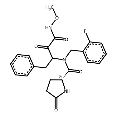 CONC(=O)C(=O)C(Cc1ccccc1)N(Cc1ccccc1F)C(=O)[C@H]1CCC(=O)N1